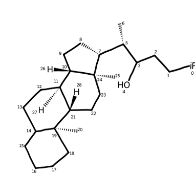 CC(C)CCC(O)[C@@H](C)[C@H]1CC[C@H]2[C@@H]3CCC4CCCC[C@]4(C)[C@H]3CC[C@]12C